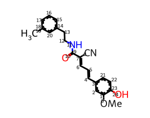 COc1cc(/C=C/C=C(\C#N)C(=O)NCCc2cccc(C)c2)ccc1O